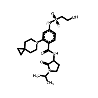 CC(C)N1CCC(NC(=O)c2ccc(NS(=O)(=O)CCO)cc2N2CCC3(CC2)CC3)C1=O